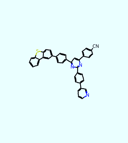 N#Cc1ccc(-c2cc(-c3ccc(-c4ccc5sc6ccccc6c5c4)cc3)nc(-c3ccc(-c4cccnc4)cc3)n2)cc1